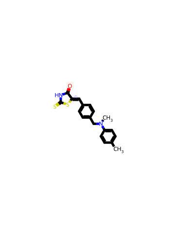 Cc1ccc(N(C)Cc2ccc(/C=C3\SC(=S)NC3=O)cc2)cc1